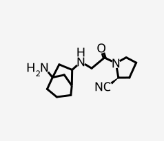 N#C[C@@H]1CCCN1C(=O)CNC1CC2(N)CCCC1C2